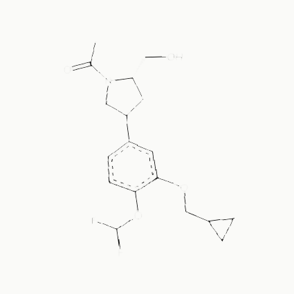 CC(=O)N1CC(c2ccc(OC(F)F)c(OCC3CC3)c2)C[C@H]1CO